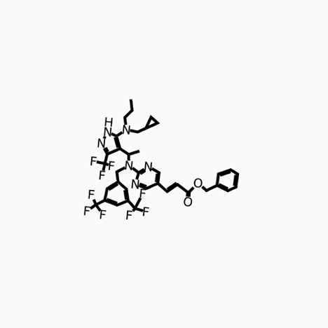 CCCN(CC1CC1)c1[nH]nc(C(F)(F)F)c1C(C)N(Cc1cc(C(F)(F)F)cc(C(F)(F)F)c1)c1ncc(C=CC(=O)OCc2ccccc2)cn1